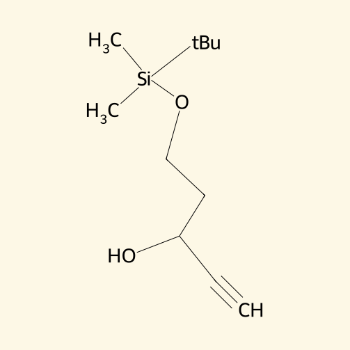 C#CC(O)CCO[Si](C)(C)C(C)(C)C